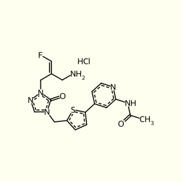 CC(=O)Nc1cc(-c2ccc(Cn3cnn(C/C(=C\F)CN)c3=O)s2)ccn1.Cl